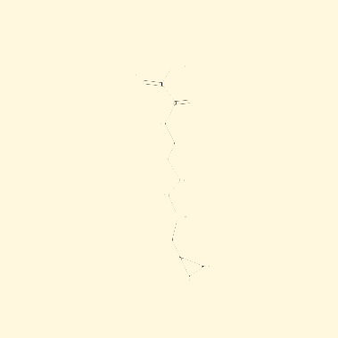 C=C(C)C(=O)CCCCCOCC1CC1